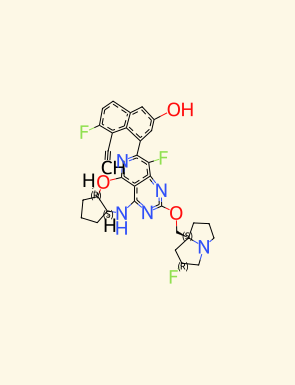 C#Cc1c(F)ccc2cc(O)cc(-c3nc4c5c(nc(OC[C@@]67CCCN6C[C@H](F)C7)nc5c3F)N[C@H]3CCC[C@H]3O4)c12